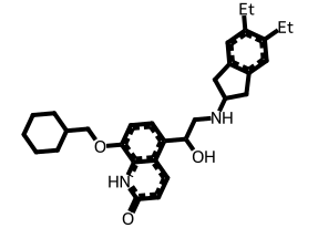 CCc1cc2c(cc1CC)CC(NCC(O)c1ccc(OCC3CCCCC3)c3[nH]c(=O)ccc13)C2